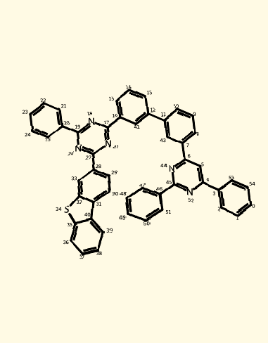 c1ccc(-c2cc(-c3cccc(-c4cccc(-c5nc(-c6ccccc6)nc(-c6ccc7c(c6)sc6ccccc67)n5)c4)c3)nc(-c3ccccc3)n2)cc1